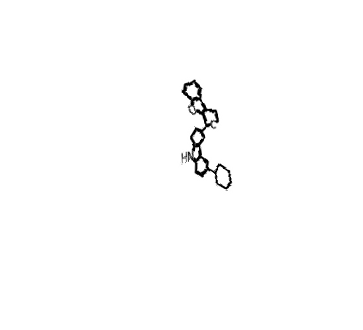 c1ccc2c(c1)oc1c(-c3ccc4[nH]c5ccc(C6CCCCC6)cc5c4c3)cccc12